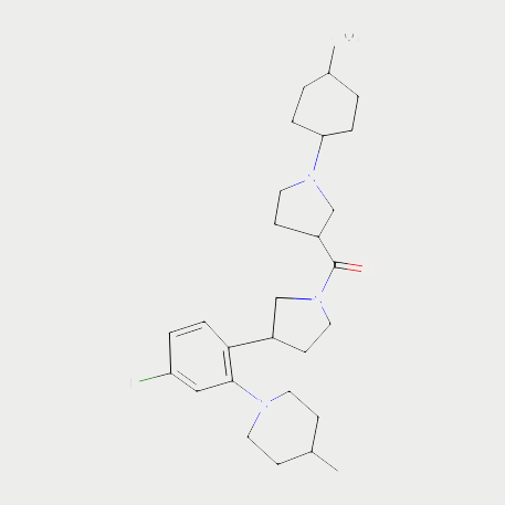 COC1CCC(N2CC(C(=O)N3CCC(c4ccc(F)cc4N4CCC(C)CC4)C3)[C@H](C)C2)CC1